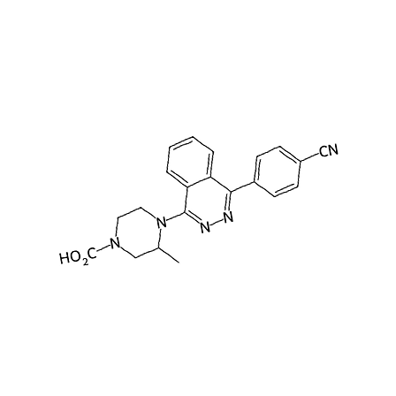 CC1CN(C(=O)O)CCN1c1nnc(-c2ccc(C#N)cc2)c2ccccc12